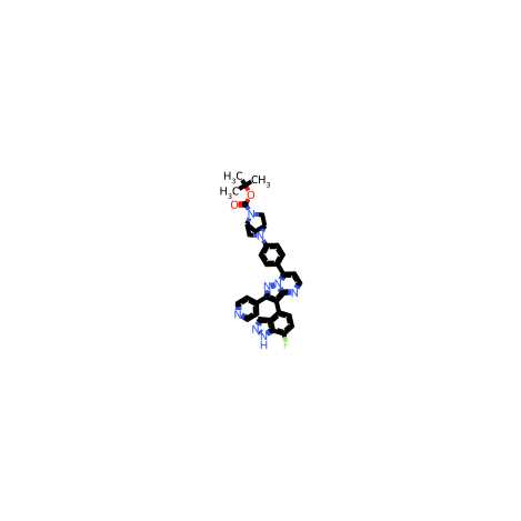 CC(C)(C)OC(=O)N1CC2CC1CN2c1ccc(-c2ccnc3c(-c4ccc(F)c5[nH]ncc45)c(-c4ccncc4)nn23)cc1